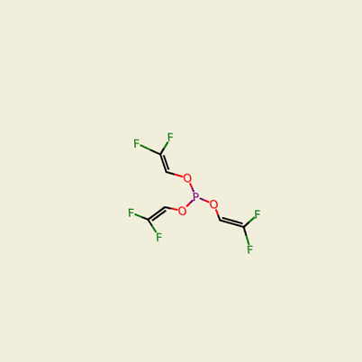 FC(F)=COP(OC=C(F)F)OC=C(F)F